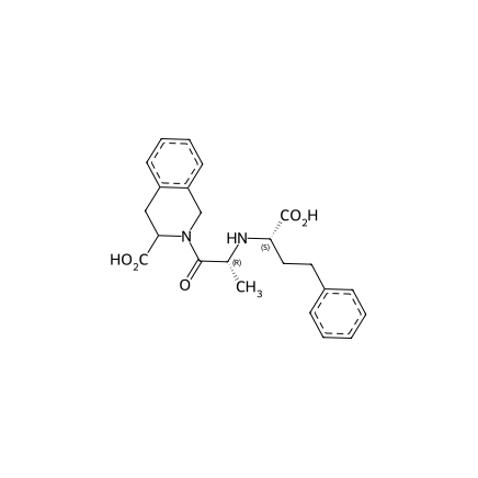 C[C@@H](N[C@@H](CCc1ccccc1)C(=O)O)C(=O)N1Cc2ccccc2CC1C(=O)O